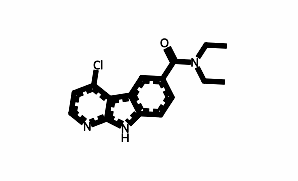 CCN(CC)C(=O)c1ccc2[nH]c3nccc(Cl)c3c2c1